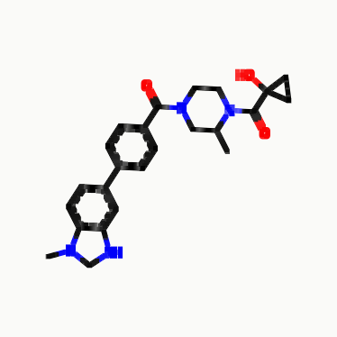 CC1CN(C(=O)c2ccc(-c3ccc4c(c3)NCN4C)cc2)CCN1C(=O)C1(O)CC1